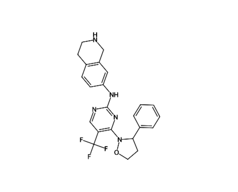 FC(F)(F)c1cnc(Nc2ccc3c(c2)CNCC3)nc1N1OCCC1c1ccccc1